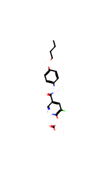 CCCCOc1ccc(NC(=O)c2cnc(OC(=O)O)c(Cl)c2)cc1